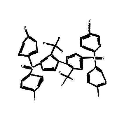 O=P(c1ccc(F)cc1)(c1ccc(F)cc1)c1ccc(-c2ccc(P(=O)(c3ccc(F)cc3)c3ccc(F)cc3)cc2C(F)(F)F)c(C(F)(F)F)c1